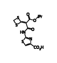 CC(C)OC(=O)C(C(=O)Nc1nc(C(=O)O)cs1)=C1SCS1